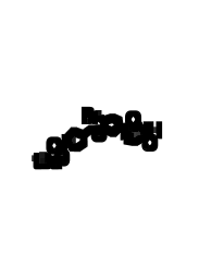 CC(C)(C)OC(=O)N1CC=C(COc2cc(N3CCC(=O)NC3=O)ccc2Br)CC1